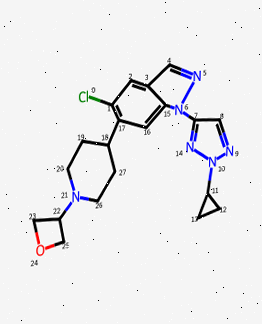 Clc1cc2cnn(-c3cnn(C4CC4)n3)c2cc1C1CCN(C2COC2)CC1